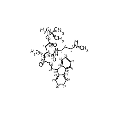 CNCCCNC(=O)[C@H](CC(=O)OC(C)(C)C)N(C)C(=O)OCC1c2ccccc2-c2ccccc21